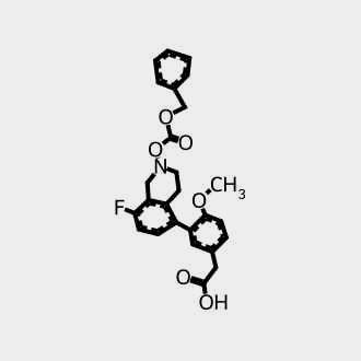 COc1ccc(CC(=O)O)cc1-c1ccc(F)c2c1CCN(OC(=O)OCc1ccccc1)C2